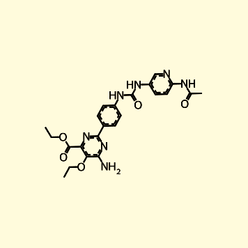 CCOC(=O)c1nc(-c2ccc(NC(=O)Nc3ccc(NC(C)=O)nc3)cc2)nc(N)c1OCC